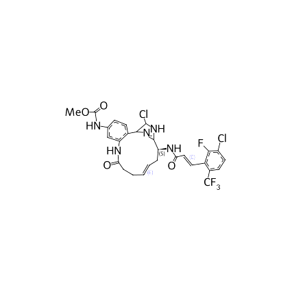 COC(=O)Nc1ccc2c(c1)NC(=O)CC/C=C/C[C@H](NC(=O)/C=C/c1c(C(F)(F)F)ccc(Cl)c1F)C1=NC2C(Cl)N1